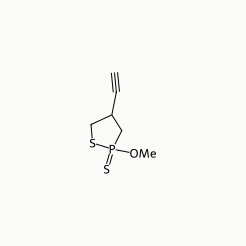 C#CC1CSP(=S)(OC)C1